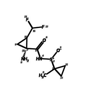 CC1([S+]([O-])NC(=O)[C@@]2(N)CC2C(F)F)CC1